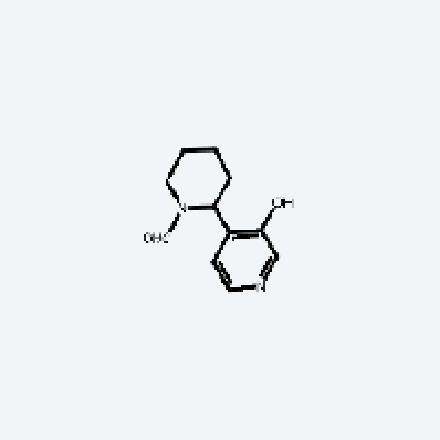 O=CN1CCCCC1c1ccncc1O